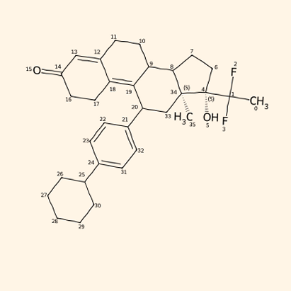 CC(F)(F)[C@]1(O)CCC2C3CCC4=CC(=O)CCC4=C3C(c3ccc(C4CCCCC4)cc3)C[C@@]21C